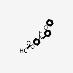 C#CC(=O)Oc1ccc(NCc2cccc(Oc3ccccc3)c2)cc1